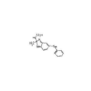 CC1(NC(=O)O)N=c2ccc([Se]c3ccccc3)cc2=N1